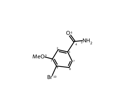 COc1cc(C(N)=O)ccc1Br